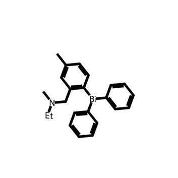 CCN(C)Cc1cc(C)cc[c]1[Bi]([c]1ccccc1)[c]1ccccc1